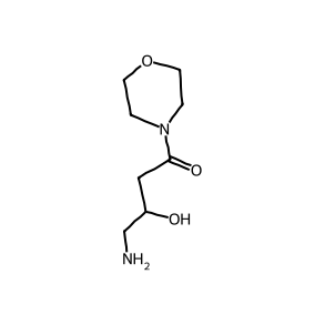 NCC(O)CC(=O)N1CCOCC1